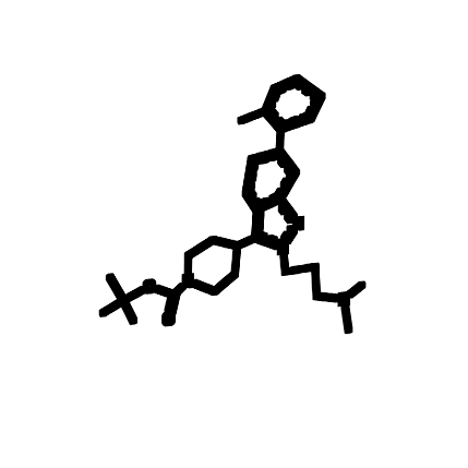 Cc1ccccc1-c1ccc2c(C3CCN(C(=O)OC(C)(C)C)CC3)n(CCCN(C)C)nc2c1